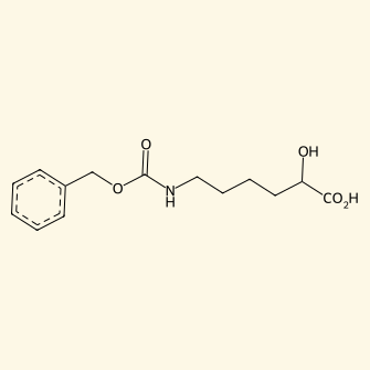 O=C(NCCCCC(O)C(=O)O)OCc1ccccc1